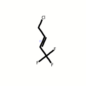 FC(F)(F)/C=C/CCl